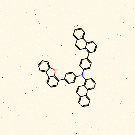 c1ccc2c(c1)ccc1c(-c3ccc(N(c4ccc(-c5cccc6c5oc5ccccc56)cc4)c4cccc5c4ccc4ccccc45)cc3)cccc12